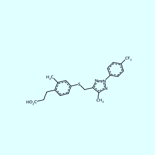 Cc1cc(SCc2nn(-c3ccc(C(F)(F)F)cc3)nc2C)ccc1CCC(=O)O